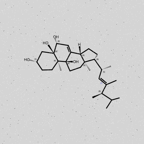 C/C(=C\[C@@H](C)[C@H]1CC[C@H]2C3=C[C@@H](O)[C@@]4(O)C[C@@H](O)CC[C@]4(C)[C@@]3(O)CC[C@]12C)[C@H](C)C(C)C